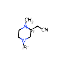 CC(C)N1CCN(C)[C@@H](CC#N)C1